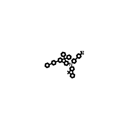 CC1(C)c2ccccc2-c2ccc(N(c3ccc(-c4ccc([Si](C)(C)C)cc4)cc3)c3ccc4c(c3)C(c3ccccc3)(c3ccccc3)c3ccc(-c5ccc(-c6ccccc6)cc5)cc3-4)cc21